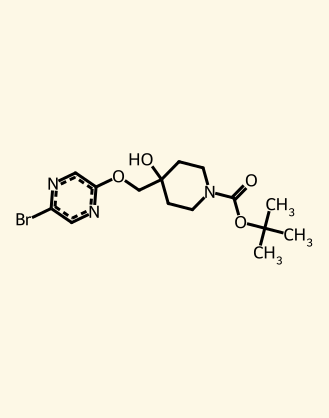 CC(C)(C)OC(=O)N1CCC(O)(COc2cnc(Br)cn2)CC1